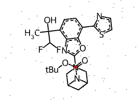 CC(C)(C)OC(=O)N1C2CC1CN(c1nc3c(C(C)(O)C(F)F)ccc(-c4nccs4)c3o1)C2